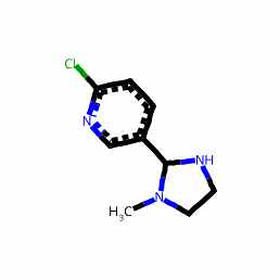 CN1CCNC1c1ccc(Cl)nc1